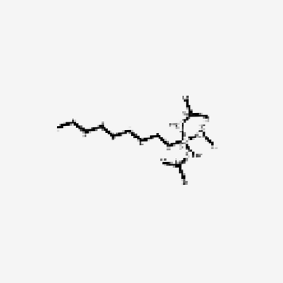 CCCCCCCCC[Si](OC)(OC(C)C)OC(C)C